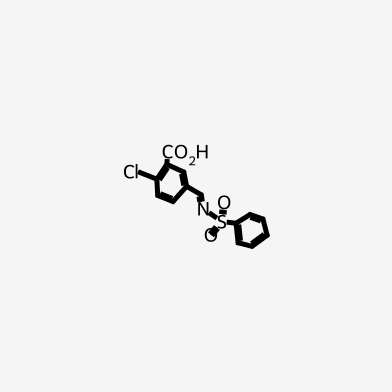 O=C(O)c1cc(C=NS(=O)(=O)c2ccccc2)ccc1Cl